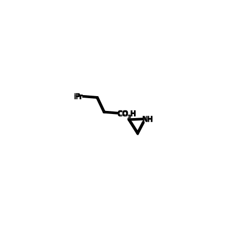 C1CN1.CC(C)CCC(=O)O